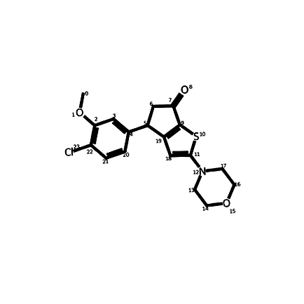 COc1cc(C2CC(=O)c3sc(N4CCOCC4)cc32)ccc1Cl